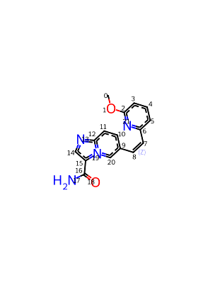 COc1cccc(/C=C\c2ccc3ncc(C(N)=O)n3c2)n1